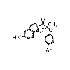 CC(=O)c1ccc(OC(C)(C)C(=O)c2ccc3cc(C)ccc3c2)cc1